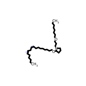 CCCCC/C=C\C/C=C\CCCCCCCCOC1CCCN1CCCOCCCCCCCC